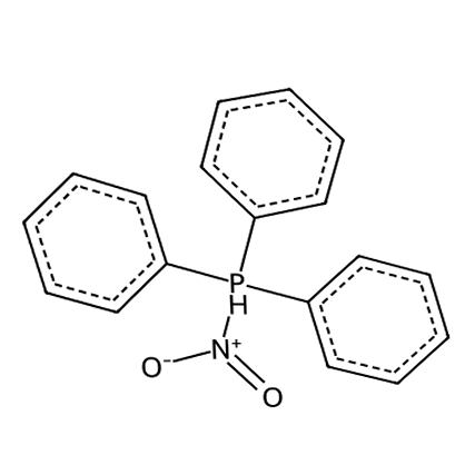 O=[N+]([O-])[PH](c1ccccc1)(c1ccccc1)c1ccccc1